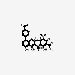 CC(=O)c1ccc(-c2ccc(O)c3c2C[C@H]2C[C@H]4[C@H](N(C)C)C(=O)C(C(N)=O)=C(O)[C@@]4(O)C(=O)C2=C3O)cc1